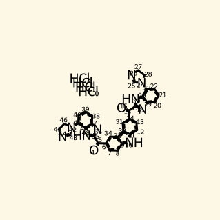 Cl.Cl.Cl.Cl.O=C(c1ccc2[nH]c3ccc(C(=O)c4nc5cccc(N6C=NCC6)c5[nH]4)cc3c2c1)c1nc2cccc(N3C=NCC3)c2[nH]1